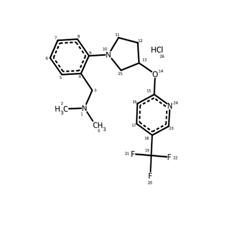 CN(C)Cc1ccccc1N1CCC(Oc2ccc(C(F)(F)F)cn2)C1.Cl